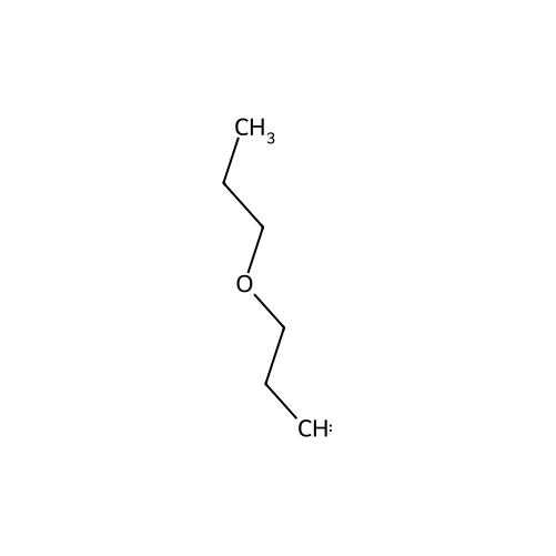 [CH]CCOCCC